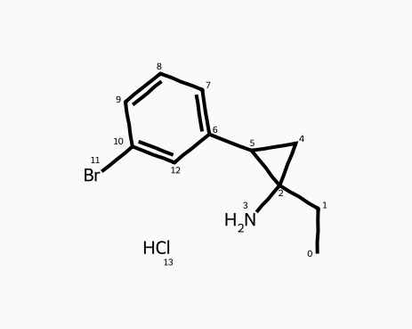 CCC1(N)CC1c1cccc(Br)c1.Cl